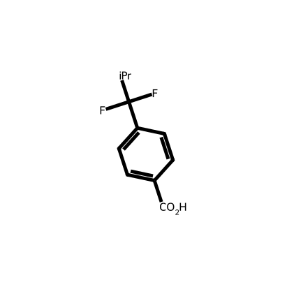 CC(C)C(F)(F)c1ccc(C(=O)O)cc1